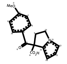 COc1ccc(C(=O)C2(C(=O)O)CCn3cccc32)cc1